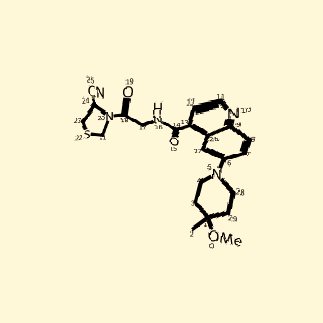 COC1(C)CCN(c2ccc3nccc(C(=O)NCC(=O)N4CSC[C@H]4C#N)c3c2)CC1